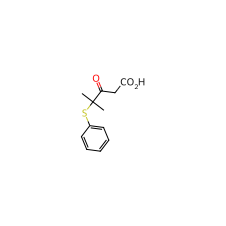 CC(C)(Sc1ccccc1)C(=O)CC(=O)O